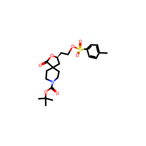 Cc1ccc(S(=O)(=O)OCC[C@H]2CC3(CCN(C(=O)OC(C)(C)C)CC3)C(=O)O2)cc1